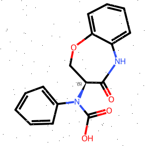 O=C1Nc2ccccc2OC[C@@H]1N(C(=O)O)c1ccccc1